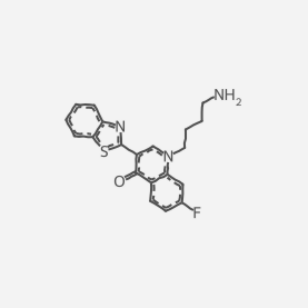 NCCCCn1cc(-c2nc3ccccc3s2)c(=O)c2ccc(F)cc21